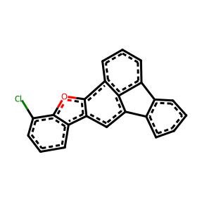 Clc1cccc2c1oc1c3cccc4c3c(cc21)-c1ccccc1-4